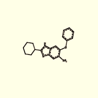 Nc1cc2nc(C3CCCCC3)[nH]c2cc1Oc1ccccc1